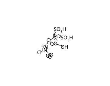 CC1(C)C(/C=C/C2=C(c3cccc(OCCCCO)c3)C(=C/C=C3/N(CCCS(=O)(=O)O)c4ccc(S(=O)(=O)O)cc4C3(C)C)/CCC2)=Nc2c1cc(Cl)c[n+]2CCCS(=O)(=O)[O-]